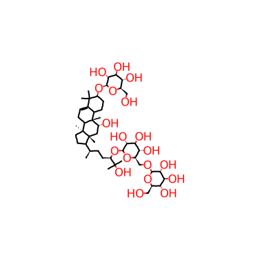 C[C@H](CC[C@@H](O[C@@H]1O[C@H](CO[C@@H]2O[C@H](CO)[C@@H](O)[C@H](O)[C@H]2O)[C@@H](O)[C@H](O)[C@H]1O)C(C)(C)O)C1CC[C@@]2(C)C3CC=C4C(CC[C@H](O[C@@H]5O[C@H](CO)[C@@H](O)[C@H](O)[C@H]5O)C4(C)C)[C@]3(C)[C@H](O)C[C@]12C